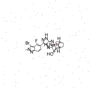 Cn1nc2ccc(-c3n[nH]c4nc(N5[C@H]6CC[C@@H]5[C@@H](F)[C@@H](N)C6)c(CO)nc34)c(F)c2c1Br